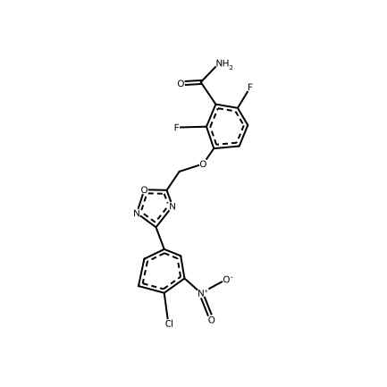 NC(=O)c1c(F)ccc(OCc2nc(-c3ccc(Cl)c([N+](=O)[O-])c3)no2)c1F